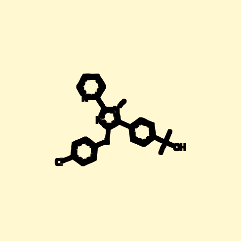 Cn1c(-c2ccccn2)nc(Sc2ccc(Cl)cc2)c1-c1ccc(C(C)(C)O)cc1